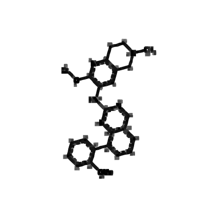 CCOc1nc2c(cc1Nc1ncc3cccc(-c4ccccc4OC)c3n1)CN(C)CC2